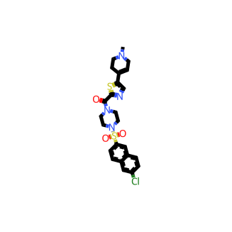 CN1CC=C(c2cnc(C(=O)N3CCN(S(=O)(=O)c4ccc5cc(Cl)ccc5c4)CC3)s2)CC1